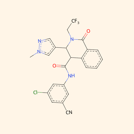 Cn1cc(C2C(C(=O)Nc3cc(Cl)cc(C#N)c3)c3ccccc3C(=O)N2CC(F)(F)F)cn1